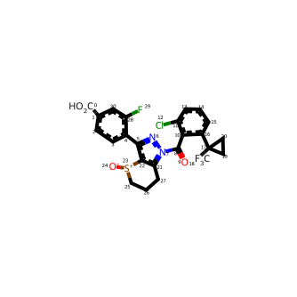 O=C(O)c1ccc(-c2nn(C(=O)c3c(Cl)cccc3C3(C(F)(F)F)CC3)c3c2[S+]([O-])CCC3)c(F)c1